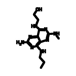 CCCNc1nc(N)nc2c(NCCO)nc(NC)nc12